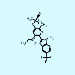 CC[S@@+]([O-])c1cc(OC(C)(C)C#N)c(C)nc1-c1nc2cc(C(F)(F)F)cnc2n1C